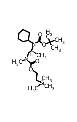 C[C@@H](CN(C)C(=O)OCC[Si](C)(C)C)N(C(=O)OC(C)(C)C)C1CCCCC1